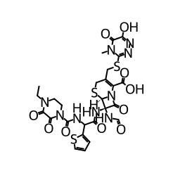 CCN1CCN(C(=O)NC(C(=O)N[C@]2(NC=O)C(=O)N3C(C(=O)O)=C(CSc4nnc(O)c(=O)n4C)CS[C@@H]32)c2cccs2)C(=O)C1=O